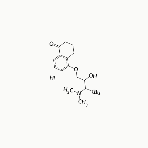 CN(C)C(C(O)COc1cccc2c1CCCC2=O)C(C)(C)C.I